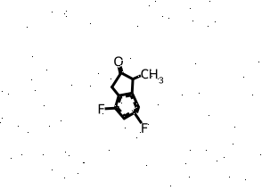 CC1C(=O)Cc2c(F)cc(F)cc21